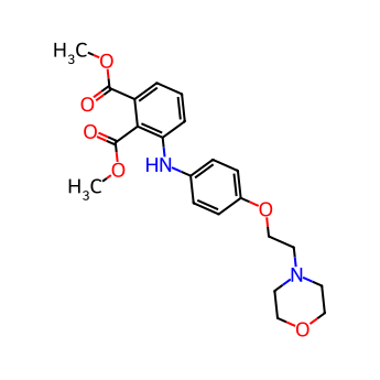 COC(=O)c1cccc(Nc2ccc(OCCN3CCOCC3)cc2)c1C(=O)OC